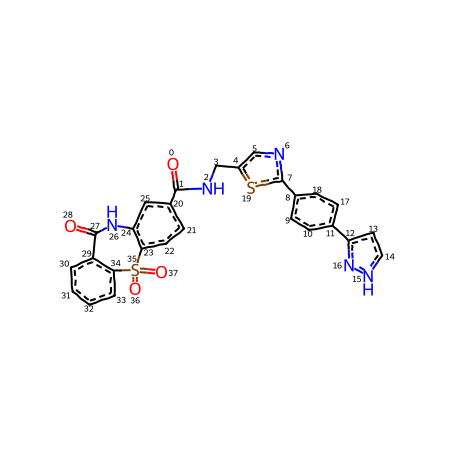 O=C(NCc1cnc(-c2ccc(-c3cc[nH]n3)cc2)s1)c1ccc2c(c1)NC(=O)c1ccccc1S2(=O)=O